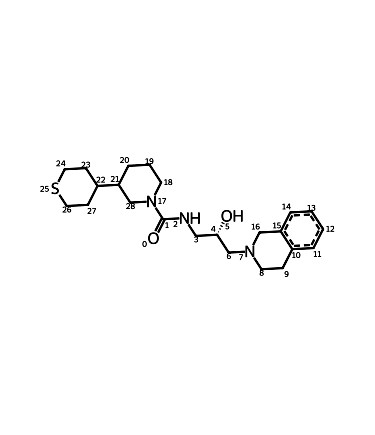 O=C(NC[C@H](O)CN1CCc2ccccc2C1)N1CCCC(C2CCSCC2)C1